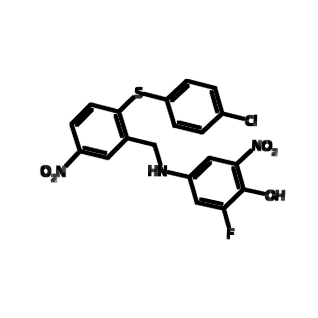 O=[N+]([O-])c1ccc(Sc2ccc(Cl)cc2)c(CNc2cc(F)c(O)c([N+](=O)[O-])c2)c1